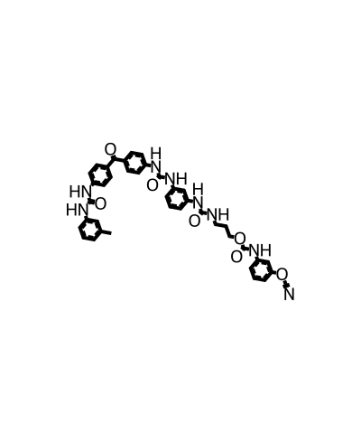 Cc1cccc(NC(=O)Nc2ccc(C(=O)c3ccc(NC(=O)Nc4cccc(NC(=O)NCCCOC(=O)Nc5cccc(OC#N)c5)c4)cc3)cc2)c1